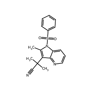 Cc1c(C(C)(C)C#N)c2ncccc2n1S(=O)(=O)c1ccccc1